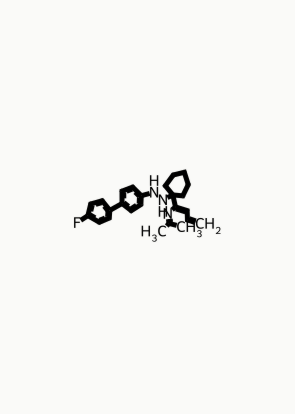 C=C/C=C(\N=C(C)C)C1(NNc2ccc(-c3ccc(F)cc3)cc2)CCCCC1